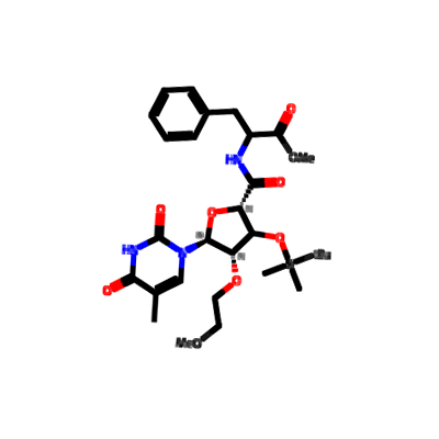 COCCO[C@H]1C(O[Si](C)(C)C(C)(C)C)[C@@H](C(=O)NC(Cc2ccccc2)C(=O)OC)O[C@@H]1n1cc(C)c(=O)[nH]c1=O